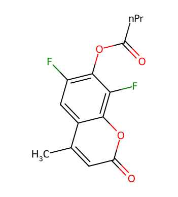 CCCC(=O)Oc1c(F)cc2c(C)cc(=O)oc2c1F